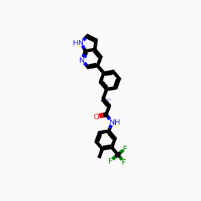 Cc1ccc(NC(=O)/C=C/c2cccc(-c3cnc4[nH]ccc4c3)c2)cc1C(F)(F)F